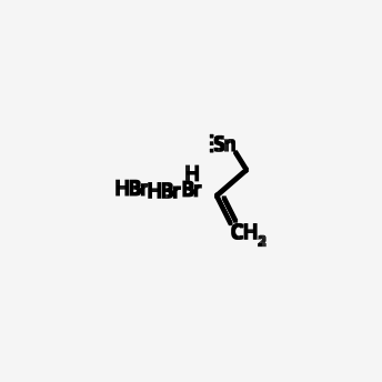 Br.Br.Br.C=C[CH2][Sn]